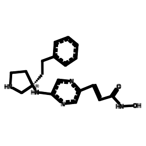 O=C(C=Cc1cnc(N[C@]2(CCc3ccccc3)CCNC2)cn1)NO